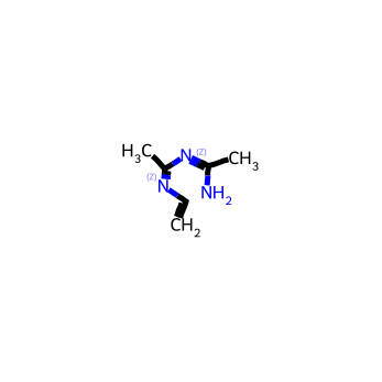 C=C/N=C(C)\N=C(\C)N